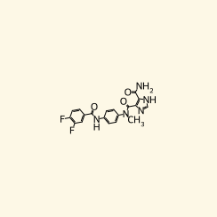 CN(C(=O)c1nc[nH]c1C(N)=O)c1ccc(NC(=O)c2ccc(F)c(F)c2)cc1